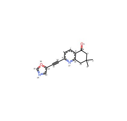 CC1(C)CC(=O)c2ccc(C#Cc3cnco3)nc2C1